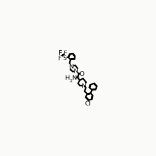 N[C@@H](C(=O)N1CCN(Cc2ccccc2SC(F)(F)F)CC1)C1CCN(CCc2cc(Cl)ccc2-c2ccccc2)CC1